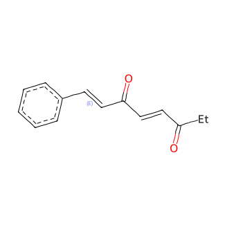 CCC(=O)C=CC(=O)/C=C/c1ccccc1